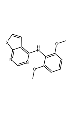 COc1cccc(OC)c1Nc1ncnc2sccc12